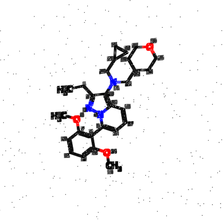 CCc1nn2c(-c3c(OC)cccc3OC)cccc2c1N(CC1CCOCC1)CC1CC1